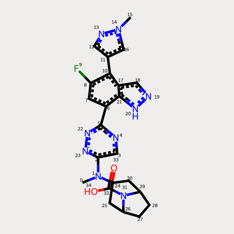 CN(c1cnc(-c2cc(F)c(-c3cnn(C)c3)c3cn[nH]c23)nn1)C1CC2CCC(C1)N2C(=O)O